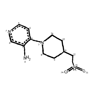 Nc1cnccc1N1CCC(C[SH](=O)=O)CC1